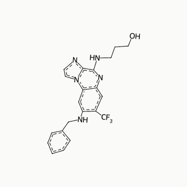 OCCCNc1nc2cc(C(F)(F)F)c(NCc3ccccc3)cc2n2ccnc12